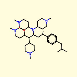 CC(C)Cc1ccc(C(C)CC(C(C2CCN(C)CC2)C2CCN(C)CC2)N(C2CCN(C)CC2)C2CCN(C)CC2)cc1